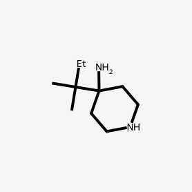 CCC(C)(C)C1(N)CCNCC1